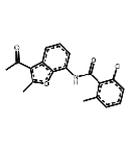 CC(=O)c1c(C)oc2c(NC(=O)c3c(C)cccc3Cl)cccc12